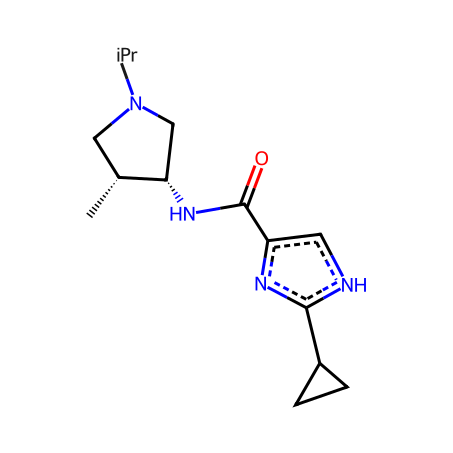 CC(C)N1C[C@@H](C)[C@@H](NC(=O)c2c[nH]c(C3CC3)n2)C1